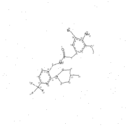 COc1cc(CC(=O)NCc2ccc(C(F)(F)F)nc2N2CCC(C)CC2)cc(Br)c1N